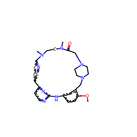 COc1ccc2cc1CN1CCN(CC1)CC(=O)N(C)CCN(C)c1ccc(cn1)-c1ccnc(n1)N2